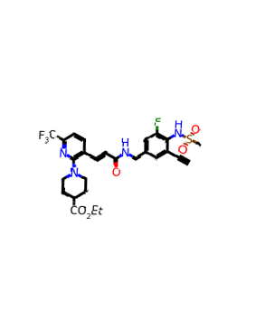 C#Cc1cc(CNC(=O)C=Cc2ccc(C(F)(F)F)nc2N2CCC(C(=O)OCC)CC2)cc(F)c1NS(C)(=O)=O